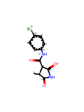 CC1C(=O)NC(=O)C1C(=O)Nc1ccc(Br)cc1